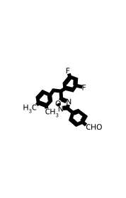 Cc1ccc(CC(c2cc(F)cc(F)c2)c2nc(-c3ccc(C=O)cc3)no2)cc1C